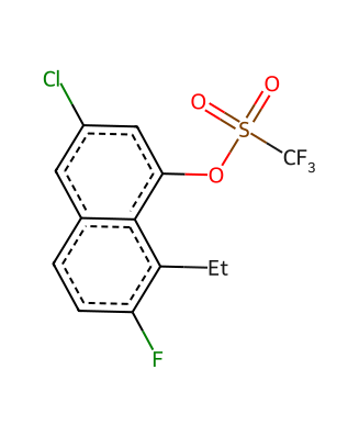 CCc1c(F)ccc2cc(Cl)cc(OS(=O)(=O)C(F)(F)F)c12